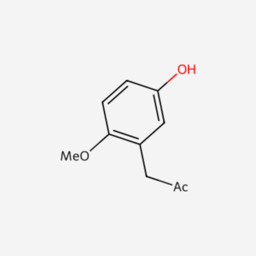 COc1ccc(O)cc1CC(C)=O